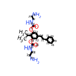 CC(C)c1c(OC(=O)NCCN)cc(/C=C/c2ccccc2)cc1OC(=O)NCCN